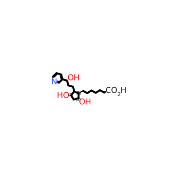 O=C(O)CCCCCC[C@@H]1C(CCC(O)c2cccnc2)[C@H](O)C[C@@H]1O